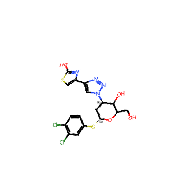 OCC1O[C@H](Sc2ccc(Cl)c(Cl)c2)C[C@@H](n2cc(-c3csc(O)n3)nn2)C1O